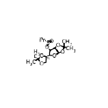 CC(C)[S@](=O)OC1C2OC(C)(C)OC2OC1[C@H]1COC(C)(C)O1